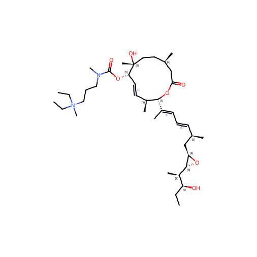 CC[C@H](O)[C@@H](C)[C@H]1O[C@@H]1C[C@H](C)/C=C/C=C(\C)[C@H]1OC(=O)C[C@H](C)CC[C@@](C)(O)[C@@H](OC(=O)N(C)CCC[N+](C)(CC)CC)/C=C/[C@@H]1C